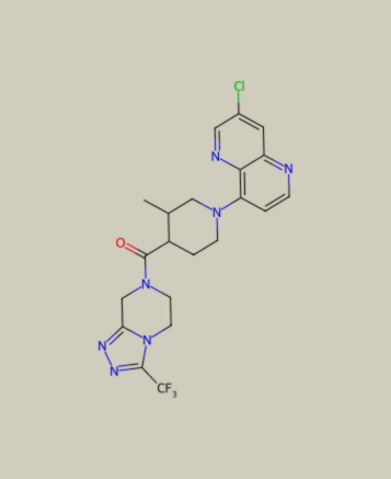 CC1CN(c2ccnc3cc(Cl)cnc23)CCC1C(=O)N1CCn2c(nnc2C(F)(F)F)C1